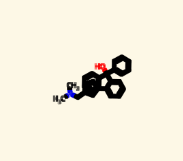 CN(C)CC1=CC(c2ccccc2C(O)(c2ccccc2)c2ccccc2)C=C1